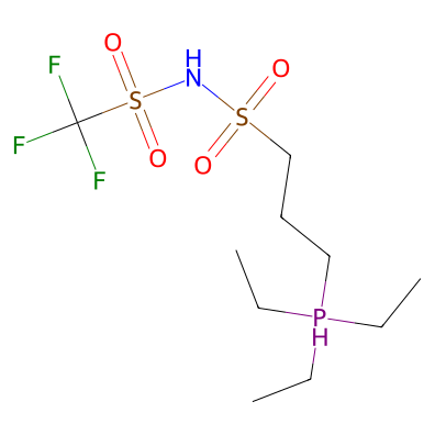 CC[PH](CC)(CC)CCCS(=O)(=O)NS(=O)(=O)C(F)(F)F